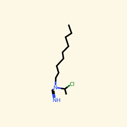 CCCCCCCCCN(C=N)C(C)Cl